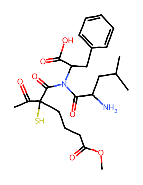 COC(=O)CCCC(S)(C(C)=O)C(=O)N(C(=O)C(N)CC(C)C)C(Cc1ccccc1)C(=O)O